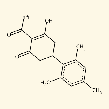 CCCC(=O)C1=C(O)CC(c2c(C)cc(C)cc2C)CC1=O